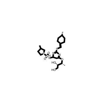 CC1CCN(S(=O)(=O)NC2CC(O[C@H](C)[C@@H](O)CO)=NC(SC=C3CCC(F)CC3)=N2)C1